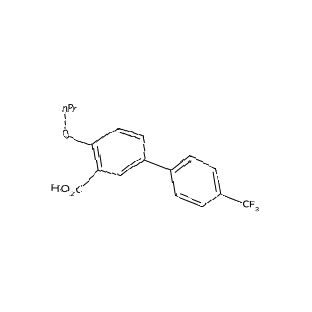 CCCOc1ccc(-c2ccc(C(F)(F)F)cc2)cc1C(=O)O